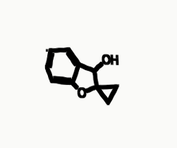 OC1c2c[c]ccc2OC12CC2